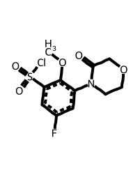 COc1c(N2CCOCC2=O)cc(F)cc1S(=O)(=O)Cl